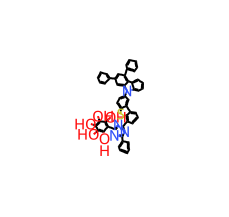 Oc1c(O)c(O)c(-c2nc(-c3ccccc3)nc(-c3cccc4c3sc3ccc(-n5c6ccccc6c6c(-c7ccccc7)cc(-c7ccccc7)cc65)cc34)n2)c(O)c1O